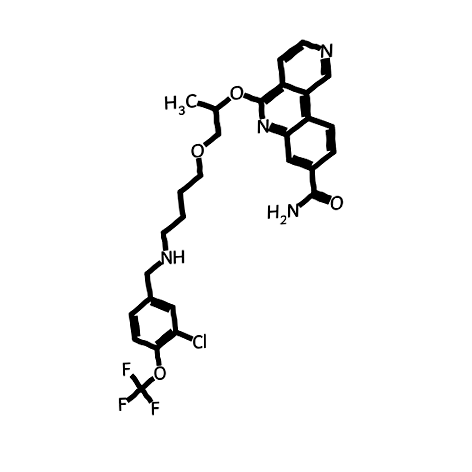 CC(COCCCCNCc1ccc(OC(F)(F)F)c(Cl)c1)Oc1nc2cc(C(N)=O)ccc2c2cnccc12